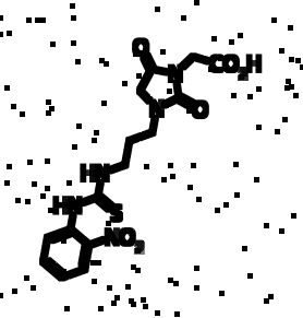 O=C(O)CN1C(=O)CN(CCCNC(=S)Nc2ccccc2[N+](=O)[O-])C1=O